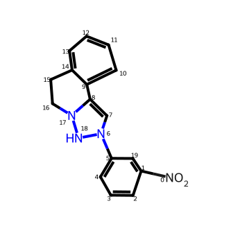 O=[N+]([O-])c1cccc(N2C=C3c4ccccc4CCN3N2)c1